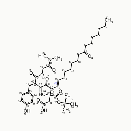 CCCCCCCC(=O)CCCCCC/C=C/[C@H](C(=O)N[C@@H](Cc1ccc(O)cc1)C(=O)OCC(=O)N(C)C)[C@@](O)(CC(=O)O)C(=O)OC(C)(C)C